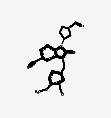 COc1ccc(Cn2c(=O)n([C@@H]3CCN(C=O)C3)c3ccc(C#N)cc32)cc1Cl